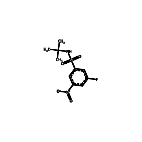 CC(C)(C)NS(=O)(=O)c1cc(F)cc([N+](=O)[O-])c1